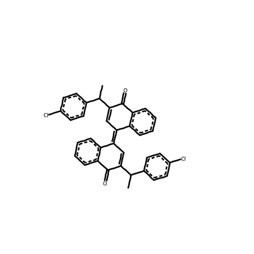 CC(C1=C/C(=C2/C=C(C(C)c3ccc(Cl)cc3)C(=O)c3ccccc32)c2ccccc2C1=O)c1ccc(Cl)cc1